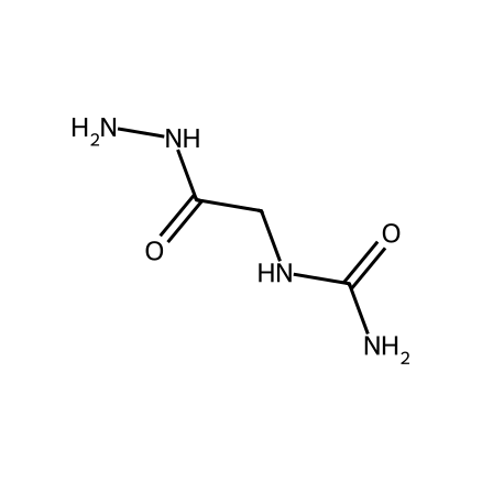 NNC(=O)CNC(N)=O